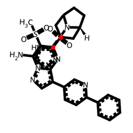 CS(=O)(=O)c1c(C2CC3CC[C@H](C2)N3S(=O)(=O)c2nnc[nH]2)nc2c(-c3ccc(-c4ccccc4)nc3)cnn2c1N